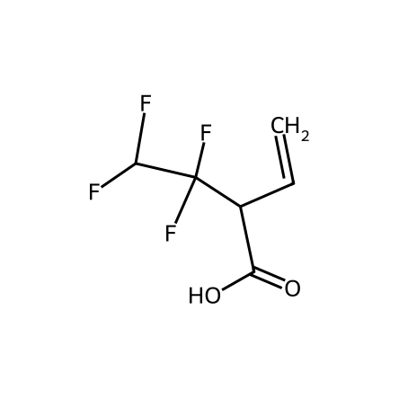 C=CC(C(=O)O)C(F)(F)C(F)F